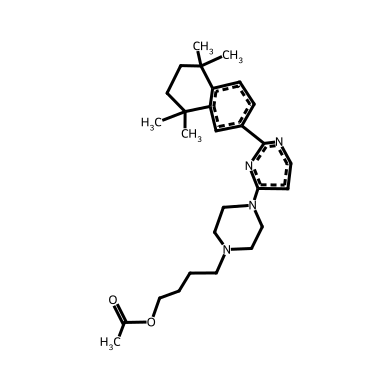 CC(=O)OCCCCN1CCN(c2ccnc(-c3ccc4c(c3)C(C)(C)CCC4(C)C)n2)CC1